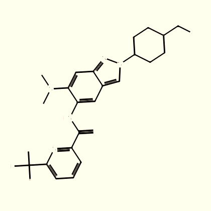 CN(C)c1cc2nn(C3CCC(CO)CC3)cc2cc1NC(=O)c1cccc(C(F)(F)F)n1